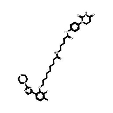 O=C(CCCCCCCCOc1c(-c2csc(N3CCOCC3)n2)ccc(F)c1F)NCCCCC(=O)Nc1ccc(N2CCC(=O)NC2=O)cc1